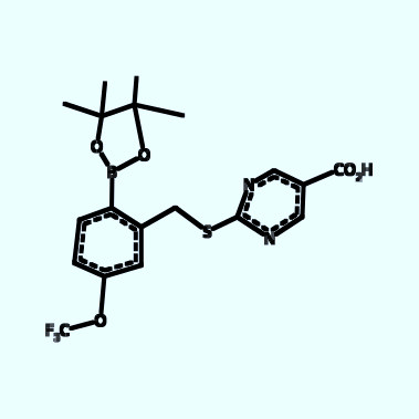 CC1(C)OB(c2ccc(OC(F)(F)F)cc2CSc2ncc(C(=O)O)cn2)OC1(C)C